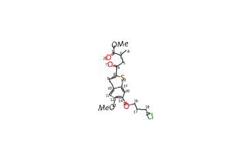 COC(=O)C(C)CC(=O)c1cc2cc(OC)c(OCCCCl)cc2s1